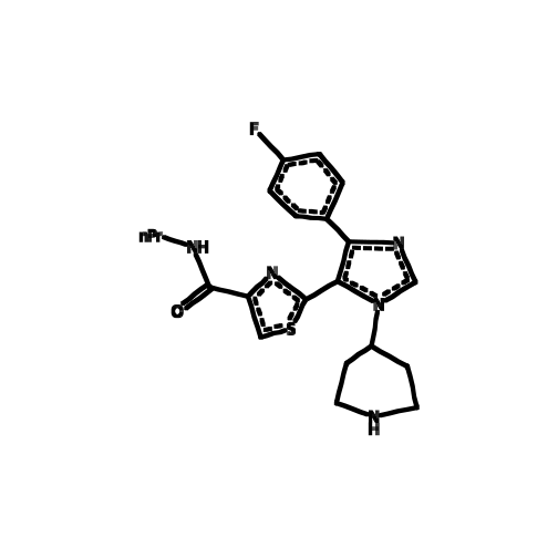 CCCNC(=O)c1csc(-c2c(-c3ccc(F)cc3)ncn2C2CCNCC2)n1